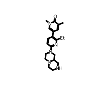 CCc1nc(N2CCN3CCNCC3C2)ccc1-c1cc(C)c(=O)n(C)c1